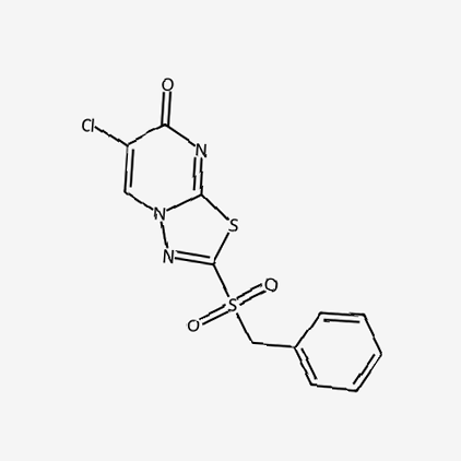 O=c1nc2sc(S(=O)(=O)Cc3ccccc3)nn2cc1Cl